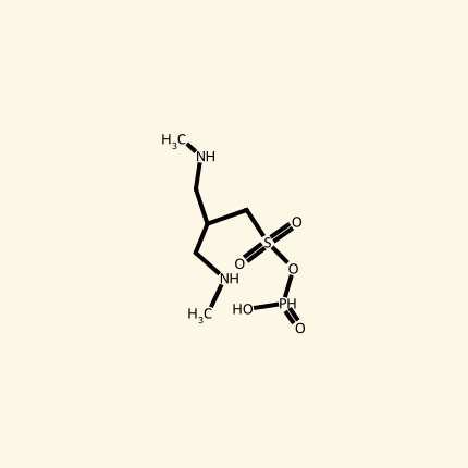 CNCC(CNC)CS(=O)(=O)O[PH](=O)O